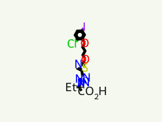 CCC(C(=O)O)n1nnc(-c2cnc(OCCCOc3cc(I)ccc3Cl)s2)n1